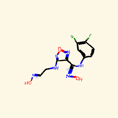 O/N=C(\Nc1ccc(F)c(Br)c1)c1nonc1NC/C=N/O